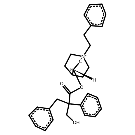 O=C(O[C@H]1C[N+]2(CCc3ccccc3)CCC1CC2)C(CO)(Cc1ccccc1)c1ccccc1